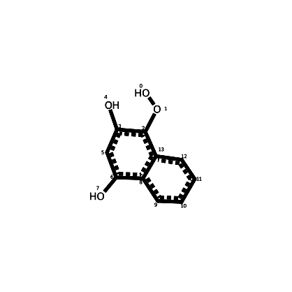 OOc1c(O)cc(O)c2ccccc12